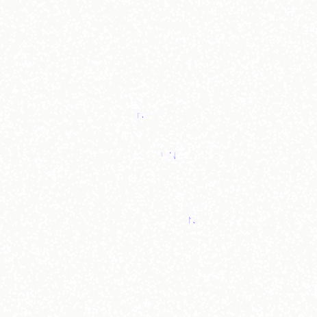 C=C(c1ccc(C#N)[nH]1)N1CCCC1